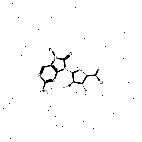 CC[C@H](O)[C@H]1O[C@@H](n2c(=O)n(CC)c3cnc(N)nc32)[C@H](O)[C@H]1F